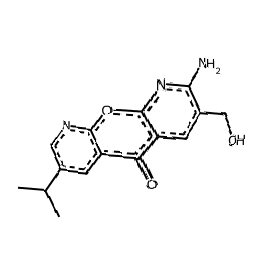 CC(C)c1cnc2oc3nc(N)c(CO)cc3c(=O)c2c1